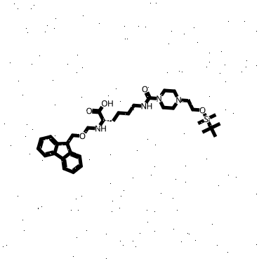 CC(C)(C)[Si](C)(C)OCCN1CCN(C(=O)NCCCC[C@H](NCOCC2c3ccccc3-c3ccccc32)C(=O)O)CC1